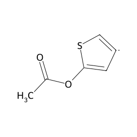 CC(=O)Oc1c[c]cs1